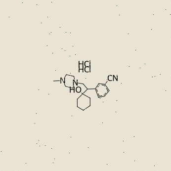 CN1CCN(CC(c2cccc(C#N)c2)C2(O)CCCCC2)CC1.Cl.Cl